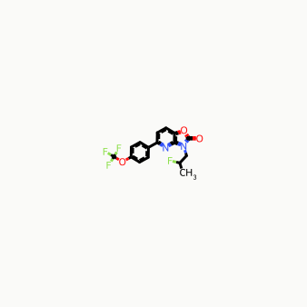 CC(F)Cn1c(=O)oc2ccc(-c3ccc(OC(F)(F)F)cc3)nc21